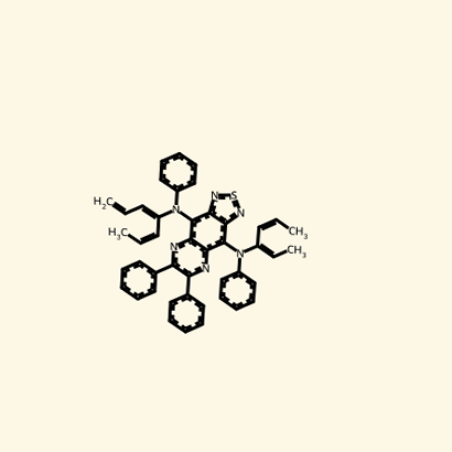 C=C/C=C(\C=C/C)N(c1ccccc1)c1c2nsnc2c(N(C(/C=C\C)=C/C)c2ccccc2)c2nc(-c3ccccc3)c(-c3ccccc3)nc12